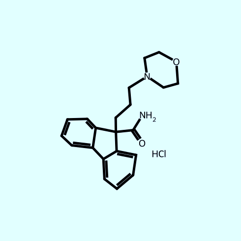 Cl.NC(=O)C1(CCCN2CCOCC2)c2ccccc2-c2ccccc21